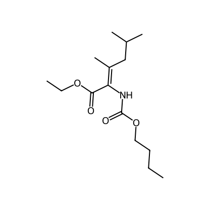 CCCCOC(=O)NC(C(=O)OCC)=C(C)CC(C)C